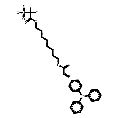 C=CC(=O)OCCCCCCCCOC(=O)C(F)(F)S(=O)(=O)[O-].c1ccc([S+](c2ccccc2)c2ccccc2)cc1